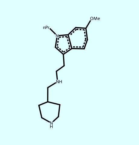 CCCn1cc(CCNCC2CCNCC2)c2ccc(OC)cc21